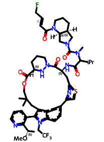 CO[C@@H](C)c1ncccc1-c1c2c3cc(ccc3n1CC(F)(F)F)-c1csc(n1)C[C@H](NC(=O)C(C(C)C)N(C)C(=O)N1C[C@@H]3CCCN(C(=O)/C=C/CF)[C@@H]3C1)C(=O)N1CCC[C@H](N1)C(=O)OCC(C)(C)C2